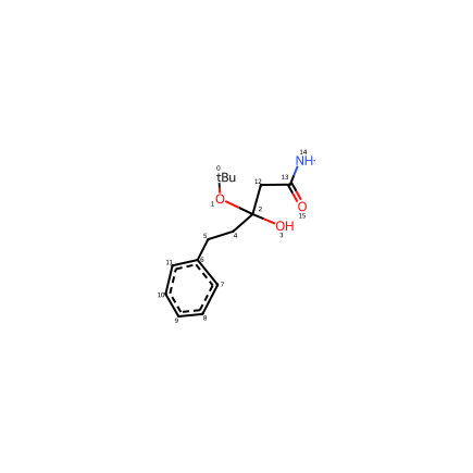 CC(C)(C)OC(O)(CCc1ccccc1)CC([NH])=O